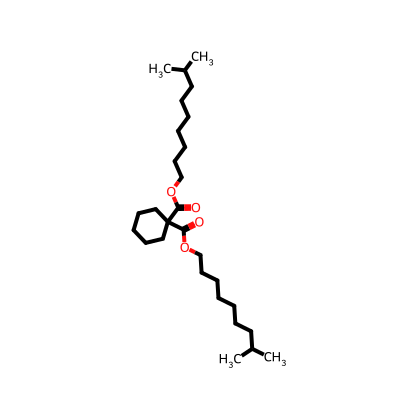 CC(C)CCCCCCCOC(=O)C1(C(=O)OCCCCCCCC(C)C)CCCCC1